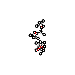 c1ccc(-c2nc(-c3cccc(-n4c5ccccc5c5ccc6c7ccccc7n(-c7ccccc7)c6c54)c3)nc(-c3cccc(-n4c5ccc(-c6cc7c8ccccc8n(-c8ccccc8)c7c7c6c6ccccc6n7-c6nc(-c7ccccc7)nc(-n7c8ccccc8c8ccc9c%10ccccc%10n(-c%10ccccc%10)c9c87)n6)cc5c5ccc6c7ccccc7n(-c7ccccc7)c6c54)c3)n2)cc1